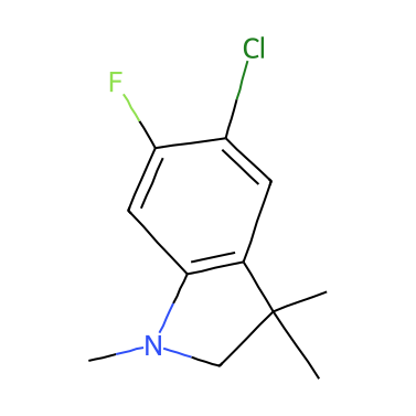 CN1CC(C)(C)c2cc(Cl)c(F)cc21